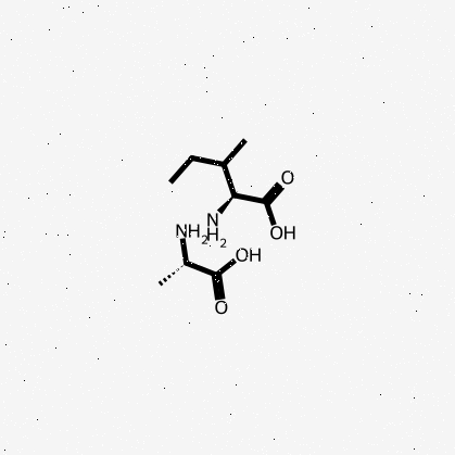 CCC(C)[C@H](N)C(=O)O.C[C@H](N)C(=O)O